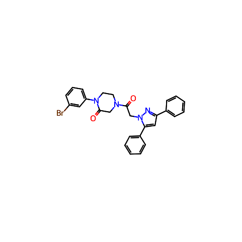 O=C(Cn1nc(-c2ccccc2)cc1-c1ccccc1)N1CCN(c2cccc(Br)c2)C(=O)C1